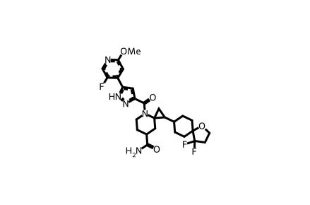 COc1cc(-c2cc(C(=O)N3CCC(C(N)=O)CC34CC4C3CCC4(CC3)OCCC4(F)F)n[nH]2)c(F)cn1